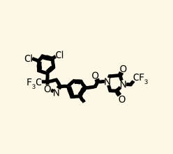 Cc1cc(C2=NOC(c3cc(Cl)cc(Cl)c3)(C(F)(F)F)C2)ccc1CC(=O)N1CC(=O)N(CC(F)(F)F)C(=O)C1